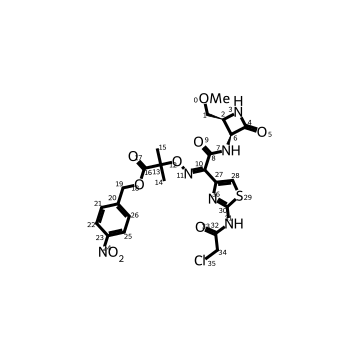 COC[C@H]1NC(=O)[C@H]1NC(=O)C(=NOC(C)(C)C(=O)OCc1ccc([N+](=O)[O-])cc1)c1csc(NC(=O)CCl)n1